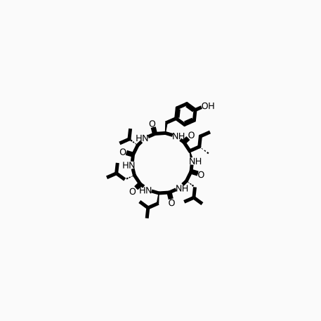 CC[C@H](C)[C@H]1NC(=O)[C@H](CC(C)C)NC(=O)[C@@H](CC(C)C)NC(=O)[C@H](CC(C)C)NC(=O)[C@H](C(C)C)NC(=O)[C@@H](Cc2ccc(O)cc2)NC1=O